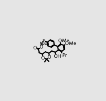 COc1cc(C(C)C)c(C(O)CC2CC(CC(=O)OC(C)(C)C)OC(C)(C)O2)c(-c2ccc(F)cc2)c1OC